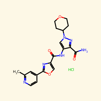 Cc1cc(-c2nc(C(=O)Nc3cn(C4CCOCC4)nc3C(N)=O)co2)ccn1.Cl